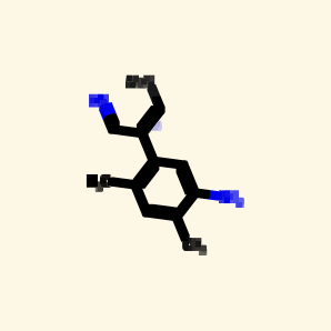 CN/C=C(\C=N)c1cc(N)c(C)cc1C